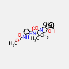 COCC(=O)Nc1cccc(C(=O)N[C@@H](C(=O)N2CC[C@](O)(c3ccccc3)C(C)(C)C2)C(C)C)c1